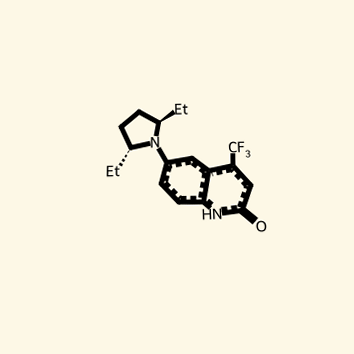 CC[C@@H]1CC[C@@H](CC)N1c1ccc2[nH]c(=O)cc(C(F)(F)F)c2c1